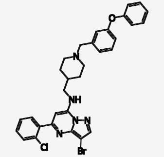 Clc1ccccc1-c1cc(NCC2CCN(Cc3cccc(Oc4ccccc4)c3)CC2)n2ncc(Br)c2n1